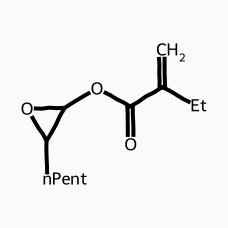 C=C(CC)C(=O)OC1OC1CCCCC